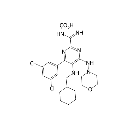 N=C(NC(=O)O)c1nc(NN2CCOCC2)c(NCC2CCCCC2)c(-c2cc(Cl)cc(Cl)c2)n1